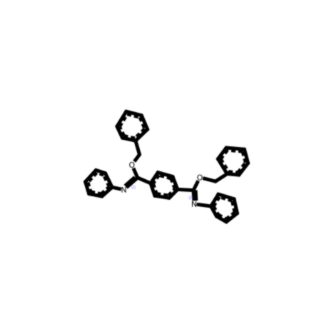 c1ccc(CO/C(=N\c2ccccc2)c2ccc(/C(=N/c3ccccc3)OCc3ccccc3)cc2)cc1